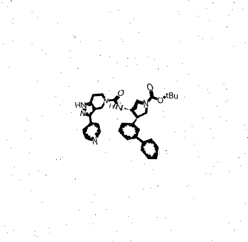 CC(C)(C)OC(=O)N1C[C@@H](NC(=O)N2CCc3[nH]nc(-c4ccncc4)c3C2)[C@H](c2cccc(-c3ccccc3)c2)C1